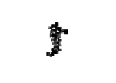 CN1CCN(Cc2ccc(Nc3cc(C#N)nc4c(F)cccc34)cc2)CC1